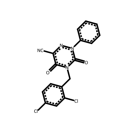 N#Cc1nn(-c2ccccc2)c(=O)n(Cc2ccc(Cl)cc2Cl)c1=O